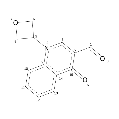 O=Cc1cn(C2COC2)c2ccccc2c1=O